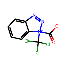 O=C([O-])[N+]1(C(Cl)(Cl)Cl)N=Nc2ccccc21